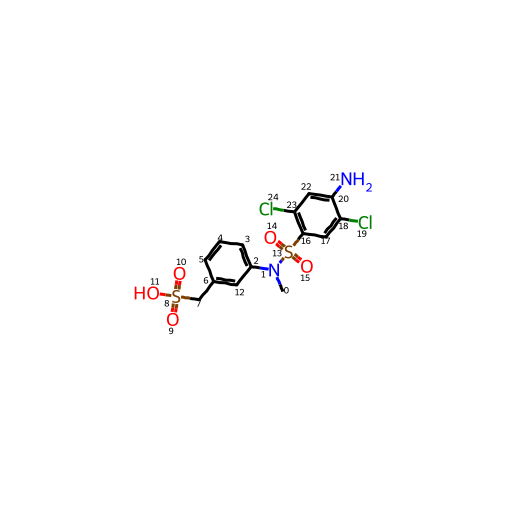 CN(c1cccc(CS(=O)(=O)O)c1)S(=O)(=O)c1cc(Cl)c(N)cc1Cl